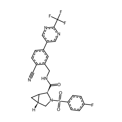 N#Cc1ccc(-c2cnc(C(F)(F)F)nc2)cc1CNC(=O)[C@@H]1C2C[C@H]2CN1S(=O)(=O)c1ccc(F)cc1